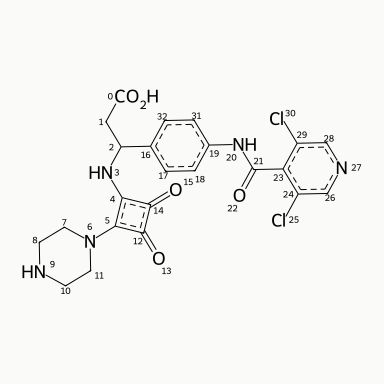 O=C(O)CC(Nc1c(N2CCNCC2)c(=O)c1=O)c1ccc(NC(=O)c2c(Cl)cncc2Cl)cc1